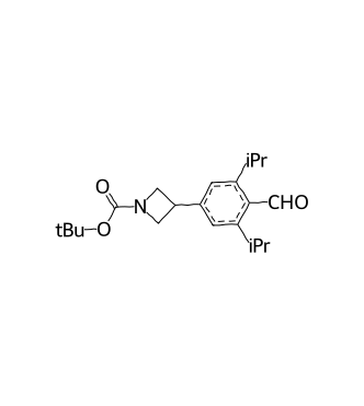 CC(C)c1cc(C2CN(C(=O)OC(C)(C)C)C2)cc(C(C)C)c1C=O